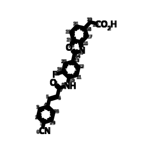 N#Cc1ccc(C=CC(=O)Nc2ccc(-c3nc4cc(CC(=O)O)ccc4o3)cc2F)cc1